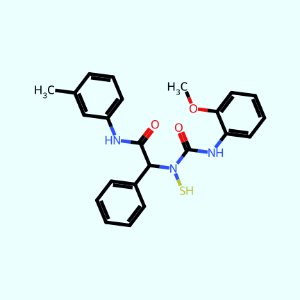 COc1ccccc1NC(=O)N(S)C(C(=O)Nc1cccc(C)c1)c1ccccc1